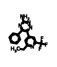 CCc1cc(-c2nnc(N)nc2-c2ccccc2)cc(C(F)(F)F)n1